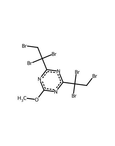 COc1nc(C(Br)(Br)CBr)nc(C(Br)(Br)CBr)n1